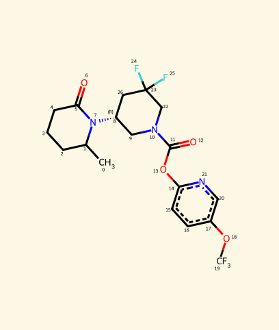 CC1CCCC(=O)N1[C@H]1CN(C(=O)Oc2ccc(OC(F)(F)F)cn2)CC(F)(F)C1